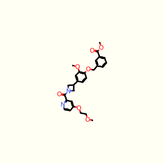 COCCOc1ccnc(C(=O)N2CC(c3ccc(OCc4cccc(C(=O)OC)c4)c(OC)c3)C2)c1